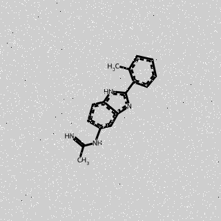 CC(=N)Nc1ccc2[nH]c(-c3ccccc3C)nc2c1